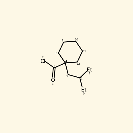 CCC(CC)CC1(C(=O)Cl)CCCCC1